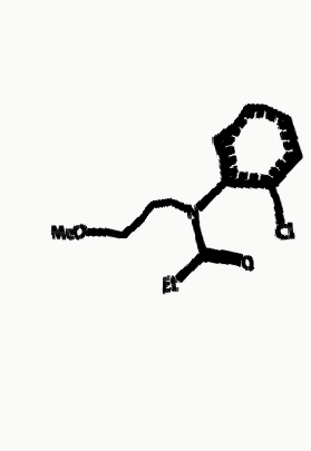 CCC(=O)N(CCOC)c1ccccc1Cl